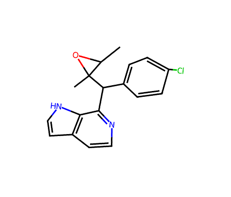 CC1OC1(C)C(c1ccc(Cl)cc1)c1nccc2cc[nH]c12